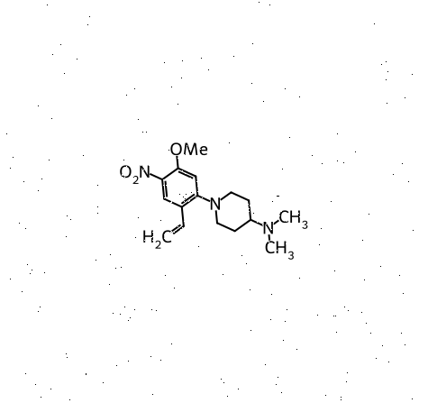 C=Cc1cc([N+](=O)[O-])c(OC)cc1N1CCC(N(C)C)CC1